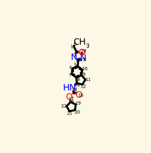 CCc1nc(-c2ccc3c(c2)CC[C@H]3NC(=O)OC2CCCC2)no1